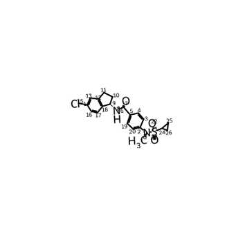 CN(c1ccc(C(=O)N[C@H]2CCc3cc(Cl)ccc32)cc1)S(=O)(=O)C1CC1